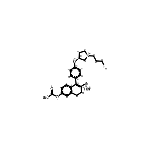 Br.CC(C)(C)C(=O)Oc1ccc2c(c1)CCC(Br)=C2c1ccc(O[C@H]2CCN(CCCF)C2)cc1